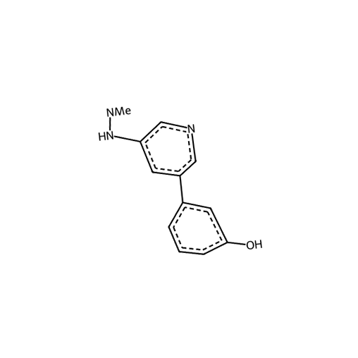 CNNc1cncc(-c2cccc(O)c2)c1